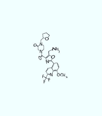 COc1ccc(-c2nc(C(=O)N3CCN(CC4CCCO4)C(=O)C3)c(CN)o2)c2ccc(C(F)(F)F)nc12